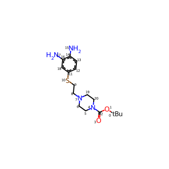 CC(C)(C)OC(=O)N1CCN(CCSc2ccc(N)c(N)c2)CC1